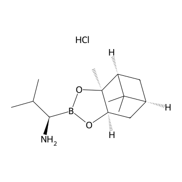 CC(C)[C@H](N)B1O[C@@H]2C[C@@H]3C[C@@H](C3(C)C)[C@]2(C)O1.Cl